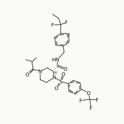 CCC(F)(F)c1ccc(CNC(=O)[C@H]2CN(C(=O)C(C)C)CCN2S(=O)(=O)c2ccc(OC(F)(F)F)cc2)cc1